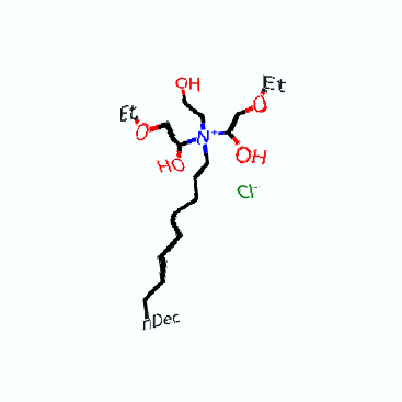 CCCCCCCCCCCCCCCCCC[N+](CCO)(C(O)COCC)C(O)COCC.[Cl-]